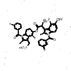 Cc1c(CC(=O)O)c2c(F)c(OC(=O)C(c3c(C)n(C(=O)c4cccc(F)c4)c4ccc(O)c(F)c34)C(C)(C)C)ccc2n1C(=O)c1cccc(F)c1